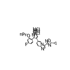 CCCOc1cc(F)ccc1-c1n[nH]cc1-c1ccc2ncc(-c3noc(C4CC4)n3)n2c1.Cl.Cl.Cl